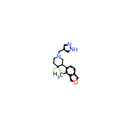 Cc1c(C2CN(Cc3cn[nH]c3)CCC2(F)F)ccc2cocc12